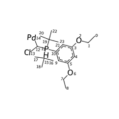 CCOc1cc(OCC)cc([PH]([CH](Cl)[Pd])(C(C)(C)C)C(C)(C)C)c1